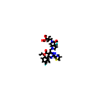 CCOC(=O)C1=C(CN2CCC3(F)C(=O)N(CC(C)(C)C(=O)O)CC23)NC(c2nccs2)=NC1c1cccc(F)c1C